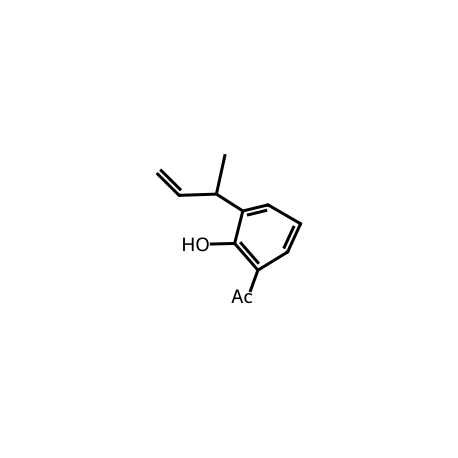 C=CC(C)c1cccc(C(C)=O)c1O